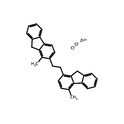 Cc1ccc(CCc2ccc3c(c2C)Cc2ccccc2-3)c2c1-c1ccccc1C2.[Cl-].[Cl-].[Zr+2]